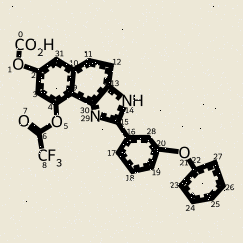 O=C(O)Oc1cc(OC(=O)C(F)(F)F)c2c(ccc3[nH]c(-c4cccc(Oc5ccccc5)c4)nc32)c1